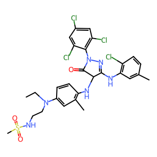 CCN(CCNS(C)(=O)=O)c1ccc(NC2C(=O)N(c3c(Cl)cc(Cl)cc3Cl)N=C2Nc2cc(C)ccc2Cl)c(C)c1